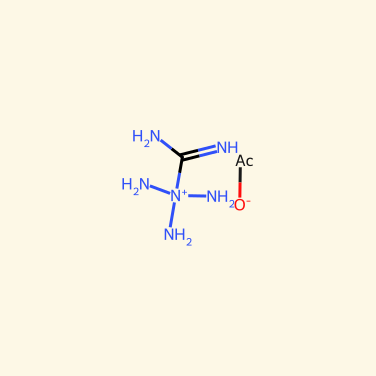 CC(=O)[O-].N=C(N)[N+](N)(N)N